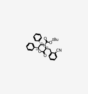 CC(C)(C)OC(=O)N1[C@@H](Cc2ccccc2C#N)C(=O)O[C@@H](c2ccccc2)[C@@H]1c1ccccc1